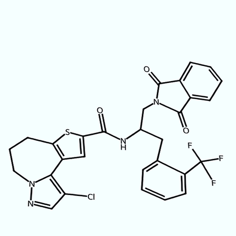 O=C(NC(Cc1ccccc1C(F)(F)F)CN1C(=O)c2ccccc2C1=O)c1cc2c(s1)CCCn1ncc(Cl)c1-2